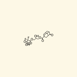 O=C1C2CC3CC1CC(C(=O)OCC(O)COC(=O)C(F)(F)S(=O)(=O)O)(C3)C2